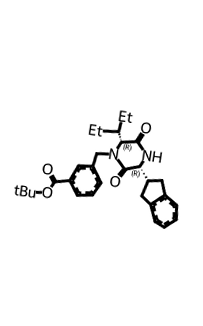 CCC(CC)[C@@H]1C(=O)N[C@H](C2Cc3ccccc3C2)C(=O)N1Cc1cccc(C(=O)OC(C)(C)C)c1